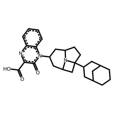 O=C(O)c1nc2ccccc2n(C2CC3CCC4(C5CC6CCCC(C6)C5)CC(C2)N34)c1=O